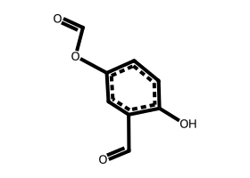 O=COc1ccc(O)c(C=O)c1